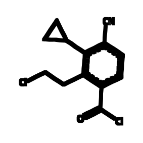 N#Cc1ccc(C(=O)Cl)c(CCCl)c1C1CC1